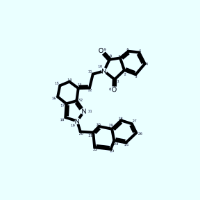 O=C1c2ccccc2C(=O)N1CC=C1CCCc2cn(Cc3ccc4ccccc4c3)nc21